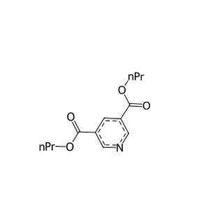 CCCOC(=O)c1cncc(C(=O)OCCC)c1